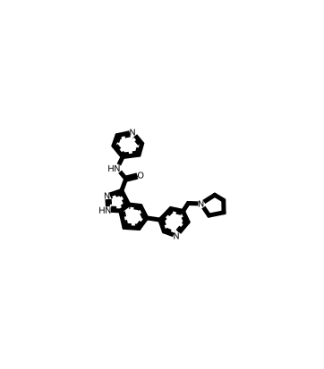 O=C(Nc1ccncc1)c1n[nH]c2ccc(-c3cncc(CN4CCCC4)c3)cc12